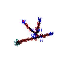 [N-]=[N+]=NCCOCCOCCCC(=O)NCCCC(=O)N[C@@H](CCCCNC(=O)CCOCCOCCN=[N+]=[N-])C(=O)N[C@@H](CCCCNC(=O)CCOCCOCCN=[N+]=[N-])C(=O)NCCOCCOCCOCCOCCC(=O)Oc1c(F)c(F)c(F)c(F)c1F